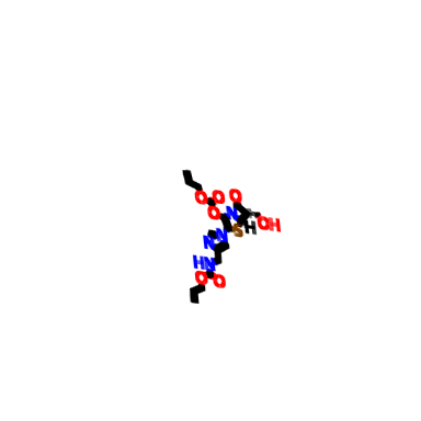 C=CCOC(=O)NCc1cn(C2=C(OC(=O)OCC=C)N3C(=O)[C@H](CO)[C@H]3S2)cn1